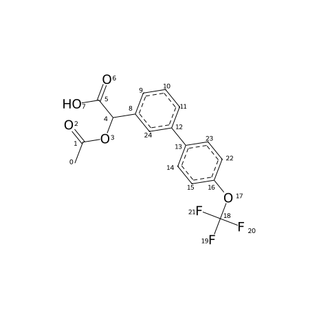 CC(=O)OC(C(=O)O)c1cccc(-c2ccc(OC(F)(F)F)cc2)c1